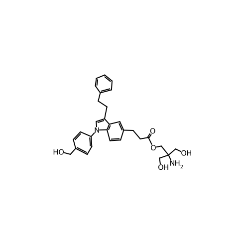 NC(CO)(CO)COC(=O)CCc1ccc2c(c1)c(CCc1ccccc1)cn2-c1ccc(CO)cc1